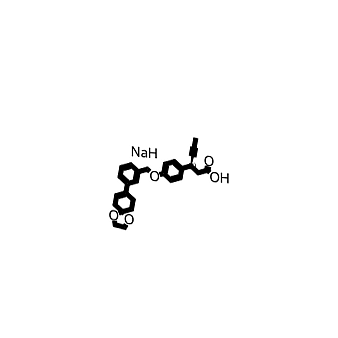 CC#C[C@@H](CC(=O)O)c1ccc(OCc2cccc(C3=CCC4(CC3)OCCO4)c2)cc1.[NaH]